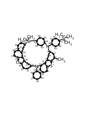 Cc1cc2cc3c1sc1cccc(c13)N(c1ccccc1)c1ccc3oc4ccc5ccc(cc5c4c3c1)[Si](C)(C)c1ccc(cc1)N2c1ccc([Si](C)(C)C)cc1